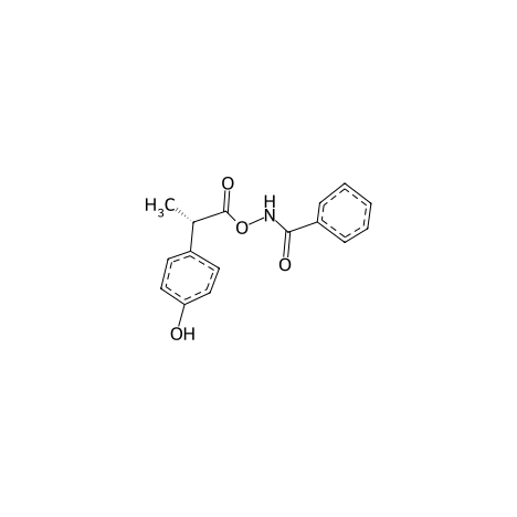 C[C@H](C(=O)ONC(=O)c1ccccc1)c1ccc(O)cc1